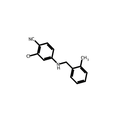 Cc1ccccc1CNc1ccc(C#N)c(Cl)c1